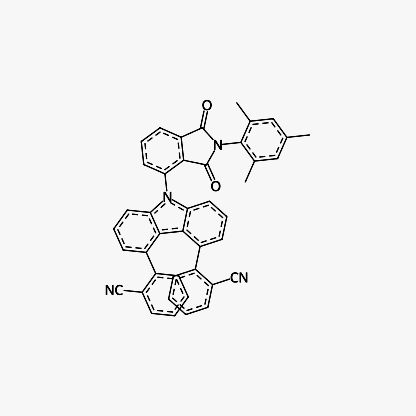 Cc1cc(C)c(N2C(=O)c3cccc(-n4c5cccc(-c6ccccc6C#N)c5c5c(-c6ccccc6C#N)cccc54)c3C2=O)c(C)c1